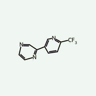 FC(F)(F)c1ccc(-c2cnccn2)cn1